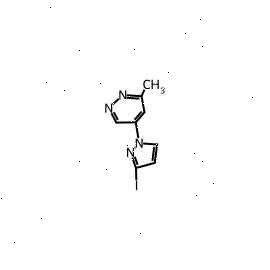 Cc1cc(-n2ccc(I)n2)cnn1